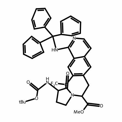 COC(=O)C(Cc1cc2ccnc(NC(c3ccccc3)(c3ccccc3)c3ccccc3)c2cc1OC(F)(F)F)N1CCC(NC(=O)OC(C)(C)C)C1=O